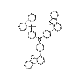 CC1(c2cccc(N(c3ccc(-c4cccc5c4oc4ccccc45)cc3)c3ccc(-c4cccc5c4sc4ccccc45)cc3)c2)c2ccccc2-c2ccccc21